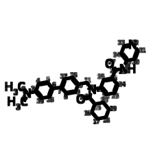 CN(C)c1ccc(-c2ccc(CN(C(=O)C3CCCCC3)c3cccc(C(=O)Nc4ccncc4)c3)cc2)cc1